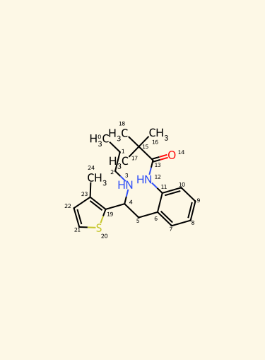 CCCNC(Cc1ccccc1NC(=O)C(C)(C)C)c1sccc1C